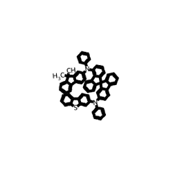 CC1(C)c2ccccc2-c2ccc(N(c3ccccc3)c3cccc4c3-c3ccccc3C43c4ccccc4-c4ccc(N(c5ccccc5)c5ccc6c(c5)sc5ccccc56)cc43)cc21